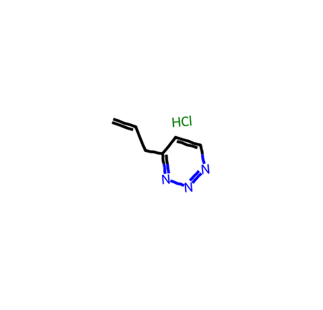 C=CCc1ccnnn1.Cl